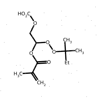 C=C(C)C(=O)OC(COC(=O)O)OOC(C)(C)CC